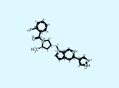 C[C@@H]1C[C@@H](Cn2ccc3cc(-c4cn[nH]c4)ncc32)CN1C(=O)c1ccccc1F